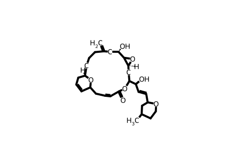 C=C1CCC[C@@H]2CC=CC(C/C=C\C(=O)OC(C(O)/C=C/C3CC(C)CCO3)C[C@@H]3OC3[C@@H](O)C1)O2